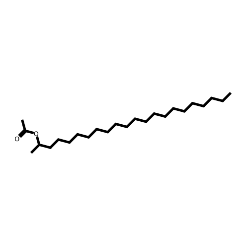 CCCCCCCCCCCCCCCCCCCCC(C)OC(C)=O